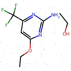 CCO.CCOc1cc(C(F)(F)F)nc(N)n1